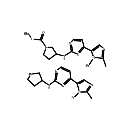 Cc1ncc(-c2ccnc(NC3CCN(C(=O)OC(C)(C)C)C3)n2)n1C(C)C.Cc1ncc(-c2ccnc(NC3CCNC3)n2)n1C(C)C